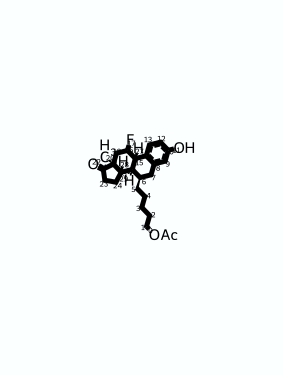 CC(=O)OCCCCC[C@@H]1Cc2cc(O)ccc2[C@H]2C(F)C[C@]3(C)C(=O)CC[C@H]3[C@H]12